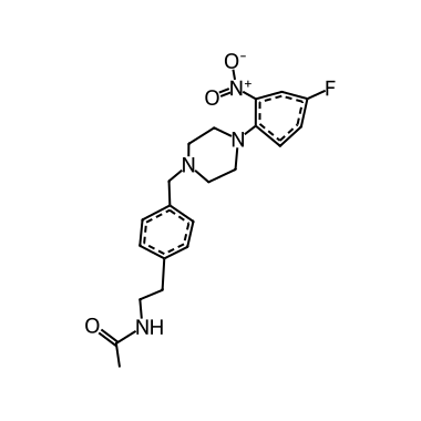 CC(=O)NCCc1ccc(CN2CCN(c3ccc(F)cc3[N+](=O)[O-])CC2)cc1